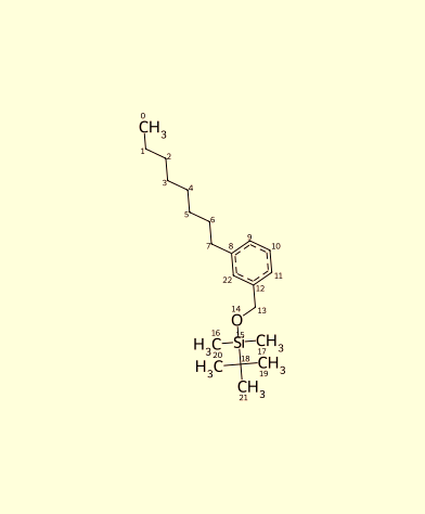 CCCCCCCCc1cccc(CO[Si](C)(C)C(C)(C)C)c1